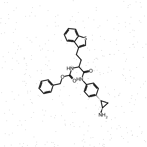 N[C@@H]1C[C@H]1c1ccc(NC(=O)C(CCc2csc3ccccc23)NC(=O)OCc2ccccc2)cc1